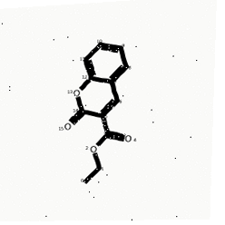 CCOC(=O)c1cc2ccccc2oc1=O